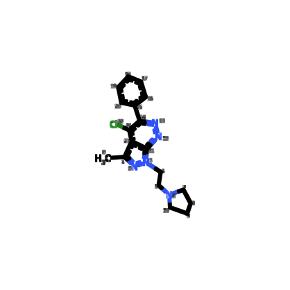 Cc1nn(CCN2CCCC2)c2nnc(-c3ccccc3)c(Cl)c12